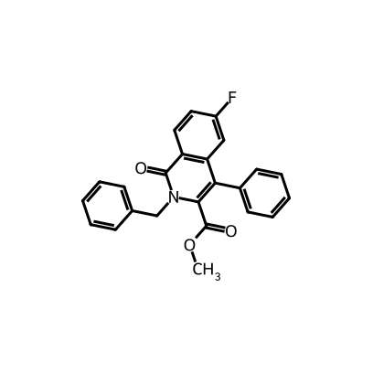 COC(=O)c1c(-c2ccccc2)c2cc(F)ccc2c(=O)n1Cc1ccccc1